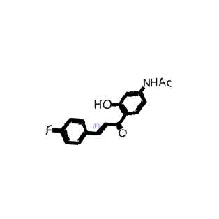 CC(=O)Nc1ccc(C(=O)/C=C/c2ccc(F)cc2)c(O)c1